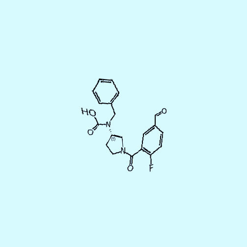 O=Cc1ccc(F)c(C(=O)N2CC[C@H](N(Cc3ccccc3)C(=O)O)C2)c1